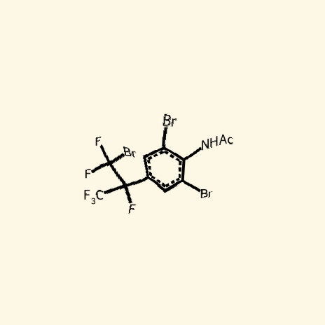 CC(=O)Nc1c(Br)cc(C(F)(C(F)(F)F)C(F)(F)Br)cc1Br